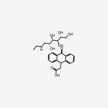 CCNC[C@@H](O)[C@@H](O)[C@H](O)[C@H](O)CO.O=C(O)Cn1c2ccccc2c(=O)c2ccccc21